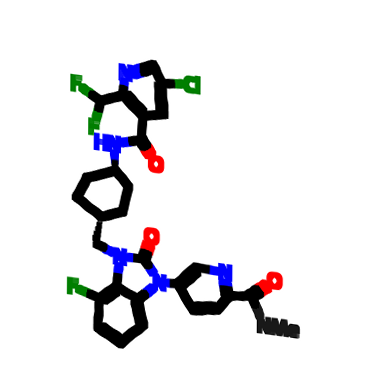 CNC(=O)c1ccc(-n2c(=O)n(C[C@H]3CC[C@H](NC(=O)c4cc(Cl)cnc4C(F)F)CC3)c3c(F)cccc32)cn1